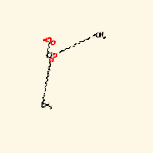 CCCCCCCCCCCCCCCCCCOc1ccc(CCCC(=O)O)cc1OCCCCCCCCCCCCCCCCCC